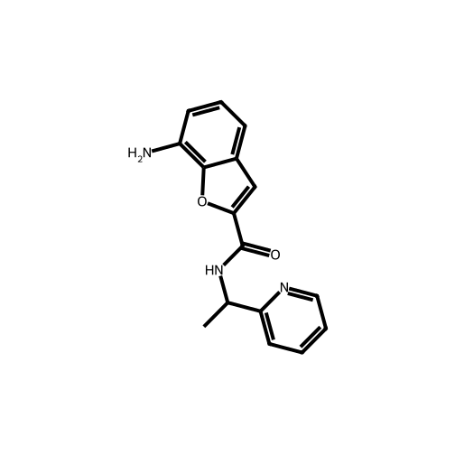 CC(NC(=O)c1cc2cccc(N)c2o1)c1ccccn1